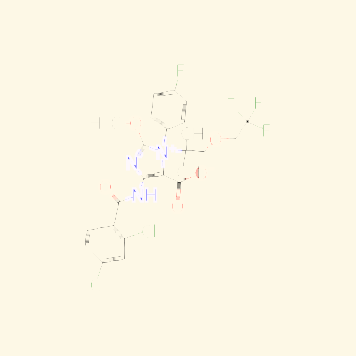 COC1=NC(NC(=O)c2ccc(Cl)cc2Cl)=C(C(=O)[O-])[N+]1(c1ccc(F)cc1)C(C)(C)COCC(F)(F)F